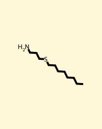 CCCCCCCCSCCCN